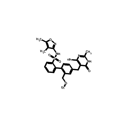 CCCc1nc(C)[nH]c(=O)c1Cc1ccc(-c2ccccc2S(=O)(=O)Nc2noc(C)c2C)c(COCC)c1